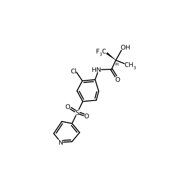 C[C@@](O)(C(=O)Nc1ccc(S(=O)(=O)c2ccncc2)cc1Cl)C(F)(F)F